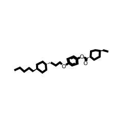 CCCCC[C@H]1CC[C@H](CCCOc2ccc(OC(=O)[C@H]3CC[C@H](CC)CC3)cc2)CC1